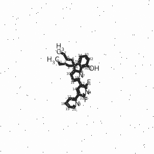 CCCCC1(CCCC)c2ccc(-c3cc(-c4ccccn4)c(F)nc3F)nc2-c2c(O)cccc21